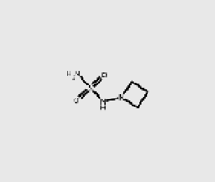 NS(=O)(=O)NN1CCC1